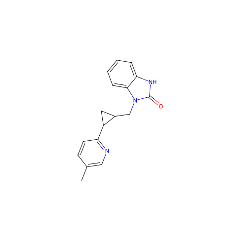 Cc1ccc(C2CC2Cn2c(=O)[nH]c3ccccc32)nc1